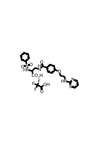 O=C(NCC(NS(=O)(=O)c1ccccc1)C(=O)O)c1ccc(OCCNc2ncccn2)cc1.O=C(O)C(F)(F)F